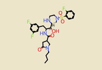 CCCCN1CC(C(=O)NC(Cc2cc(F)cc(F)c2)[C@H](O)[C@H]2CN(S(=O)(=O)c3ccccc3F)CCN2)CC1=O